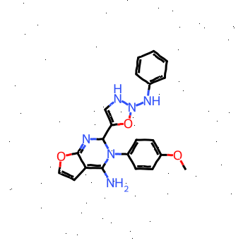 COc1ccc(N2C(N)=c3ccoc3=NC2C2=CNN(Nc3ccccc3)O2)cc1